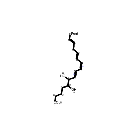 CCCCCC=CCC=C/C=C\C=C\C(O)C(O)CCCC(=O)O